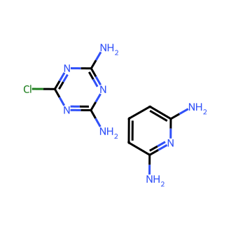 Nc1cccc(N)n1.Nc1nc(N)nc(Cl)n1